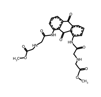 COC(=O)CNCC(=O)Nc1cccc2c1C(=O)c1c(NC(=O)CNCC(=O)OC)cccc1C2=O